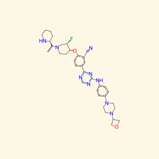 C=C([C@@H]1CCCCN1)N1CC[C@H](Oc2ccc(-c3ncnc(Nc4ccc(N5CCN(C6COC6)CC5)cc4)n3)cc2C#N)[C@H](F)C1